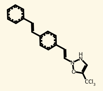 ClC(Cl)(Cl)C1=CNN(C=Cc2ccc(C=Cc3ccccc3)cc2)O1